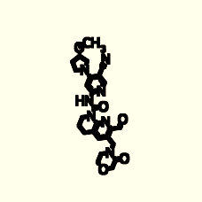 CO[C@@H]1CCN(c2cc(NC(=O)N3CCCc4cc(CN5CCOCC5=O)c(C=O)nc43)ncc2C#N)C1